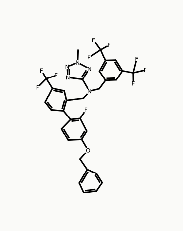 Cn1nnc(N(Cc2cc(C(F)(F)F)cc(C(F)(F)F)c2)Cc2cc(C(F)(F)F)ccc2-c2ccc(OCc3ccccc3)cc2F)n1